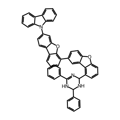 c1ccc(C2=NC(c3cccc4oc5ccc(-c6cccc7c6oc6cc(-n8c9ccccc9c9ccccc98)ccc67)cc5c34)NC(c3ccccc3)N2)cc1